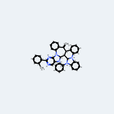 C=C1c2ccccc2N2c3nc(-c4ccccc4C)ncc3N(C)C2C2C1c1ccccc1N1c3ccccc3N(c3ccccc3)C21